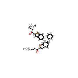 O=C(O)CCC(=O)c1cc2ccc(-c3ccccc3-c3ccc4cc(C(=O)CCC(=O)O)sc4c3)cc2s1